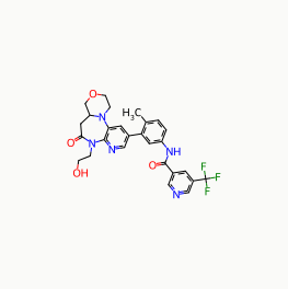 Cc1ccc(NC(=O)c2cncc(C(F)(F)F)c2)cc1-c1cnc2c(c1)N1CCOCC1CC(=O)N2CCO